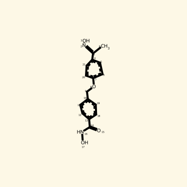 CC(=NO)c1ccc(OCc2ccc(C(=O)NO)cc2)cc1